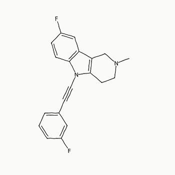 CN1CCc2c(c3cc(F)ccc3n2C#Cc2cccc(F)c2)C1